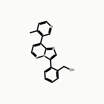 Cc1ccncc1-c1ccnn2c(-c3ccccc3CO)cnc12